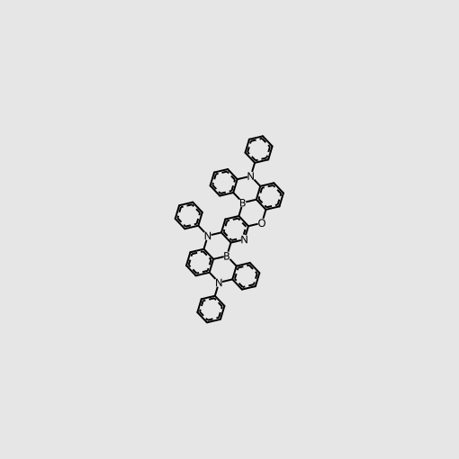 c1ccc(N2c3ccccc3B3c4cc5c(nc4Oc4cccc2c43)B2c3ccccc3N(c3ccccc3)c3cccc(c32)N5c2ccccc2)cc1